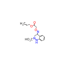 C=CCOC(=O)CON=C1CN(C(=O)O)Nc2ccccc21